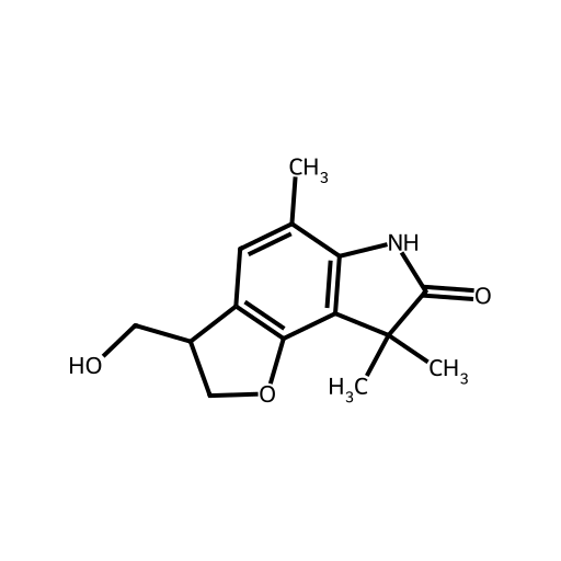 Cc1cc2c(c3c1NC(=O)C3(C)C)OCC2CO